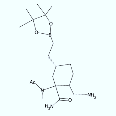 CC(=O)N(C)C1(C(N)=O)C[C@H](CCB2OC(C)(C)C(C)(C)O2)CCC1CN